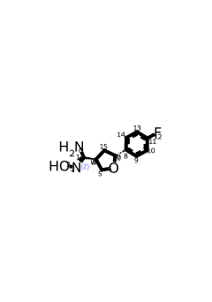 N/C(=N\O)[C@@H]1CO[C@@H](c2ccc(F)cc2)C1